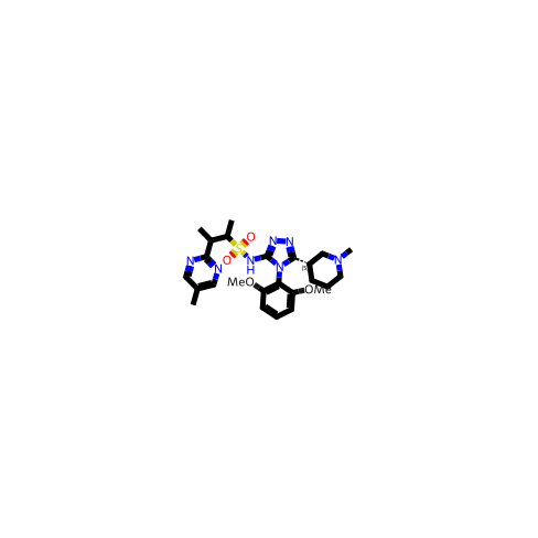 COc1cccc(OC)c1-n1c(NS(=O)(=O)C(C)C(C)c2ncc(C)cn2)nnc1[C@H]1CCCN(C)C1